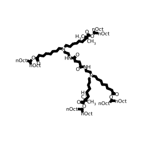 CCCCCCCCC(CCCCCCCC)OC(=O)CCCCCCCN(CCCCCCC(C)(C)C(=O)OC(CCCCCCCC)CCCCCCCC)CCNC(=O)CCC(=O)NCCN(CCCCCCCC(=O)OC(CCCCCCCC)CCCCCCCC)CCCCCCC(C)(C)C(=O)OC(CCCCCCCC)CCCCCCCC